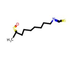 CC(CCCCCCCN=C=S)=S=O